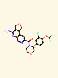 Nc1nc2cnc(C(=O)N3CCOC[C@@H]3c3ccc(OC(F)F)c(F)c3)cc2c2c1COC2